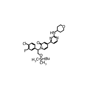 CC(C)(C)[Si](C)(C)OCC(c1ccc(Cl)c(F)c1)n1ccc(-c2ccnc(NC3CCOCC3)n2)cc1=O